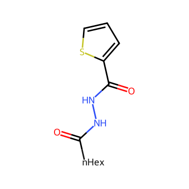 CCCCCCC(=O)NNC(=O)c1cccs1